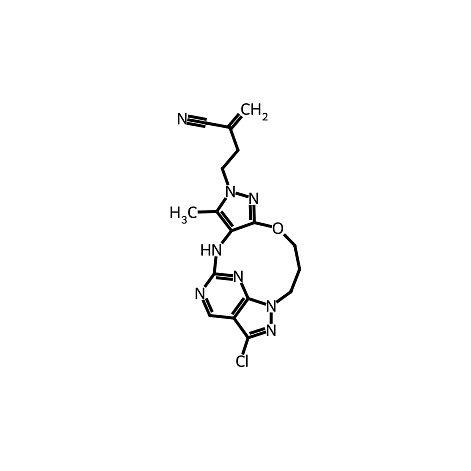 C=C(C#N)CCn1nc2c(c1C)Nc1ncc3c(Cl)nn(c3n1)CCCO2